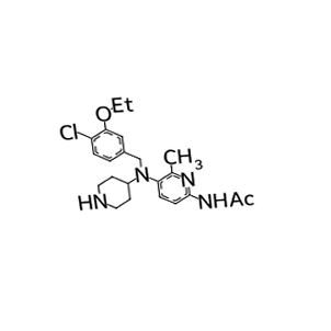 CCOc1cc(CN(c2ccc(NC(C)=O)nc2C)C2CCNCC2)ccc1Cl